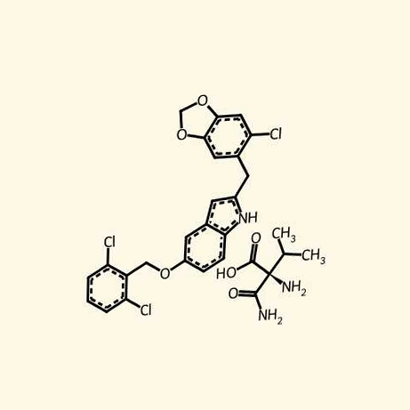 CC(C)[C@](N)(C(N)=O)C(=O)O.Clc1cc2c(cc1Cc1cc3cc(OCc4c(Cl)cccc4Cl)ccc3[nH]1)OCO2